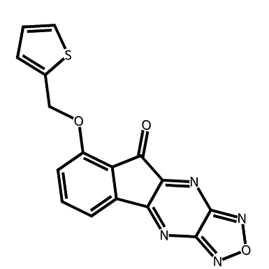 O=C1c2nc3nonc3nc2-c2cccc(OCc3cccs3)c21